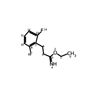 CCOC(=N)CCc1c(F)cccc1F